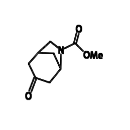 COC(=O)N1CC2CC(=O)CC1C2